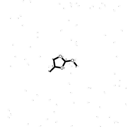 [CH2]OC1OCC(C)O1